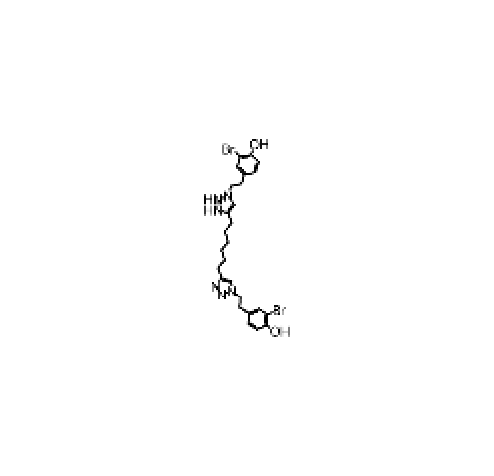 Oc1ccc(CCN2C=C(CCCCCCc3cn(CCc4ccc(O)c(Br)c4)nn3)NN2)cc1Br